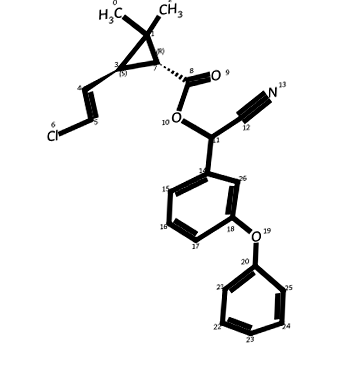 CC1(C)[C@H](C=CCl)[C@H]1C(=O)OC(C#N)c1cccc(Oc2ccccc2)c1